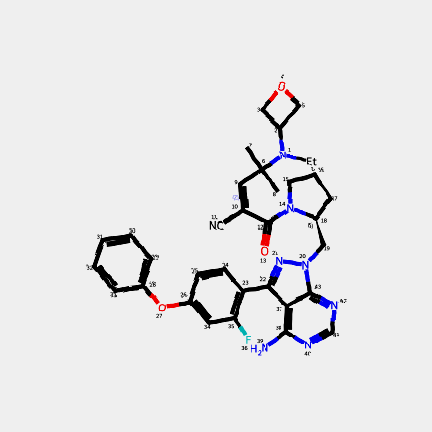 CCN(C1COC1)C(C)(C)/C=C(/C#N)C(=O)N1CCC[C@H]1Cn1nc(-c2ccc(Oc3ccccc3)cc2F)c2c(N)ncnc21